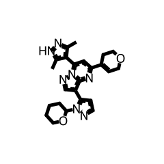 Cc1n[nH]c(C)c1-c1cc(C2=CCOCC2)nc2c(-c3ccnn3C3CCCCO3)cnn12